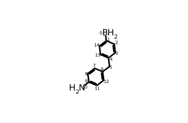 Bc1ccc(Cc2ccc(N)cc2)cc1